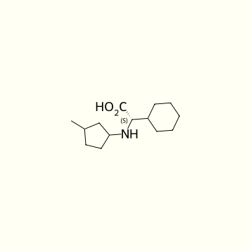 CC1CCC(N[C@H](C(=O)O)C2CCCCC2)C1